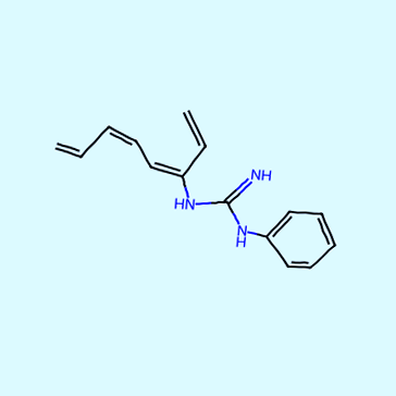 C=C/C=C\C=C(/C=C)NC(=N)Nc1ccccc1